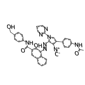 [C-]#[N+]c1c(-c2ccc(NC(C)=O)cc2)cn(-c2ncccn2)c1/N=N/c1c(O)c(C(=O)Nc2ccc(CO)cc2)cc2ccccc12